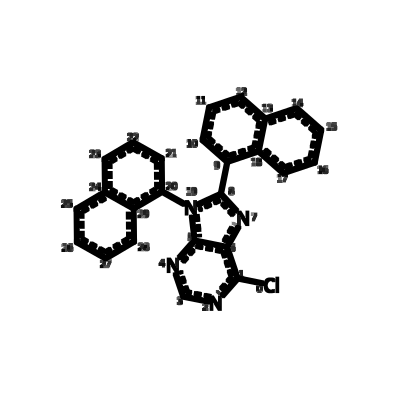 Clc1ncnc2c1nc(-c1cccc3ccccc13)n2-c1cccc2ccccc12